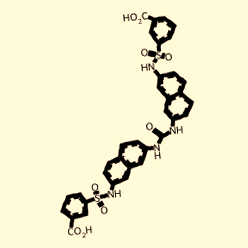 O=C(Nc1ccc2ccc(NS(=O)(=O)c3cccc(C(=O)O)c3)cc2c1)Nc1ccc2ccc(NS(=O)(=O)c3cccc(C(=O)O)c3)cc2c1